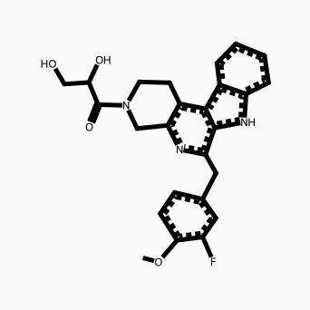 COc1ccc(Cc2nc3c(c4c2[nH]c2ccccc24)CCN(C(=O)C(O)CO)C3)cc1F